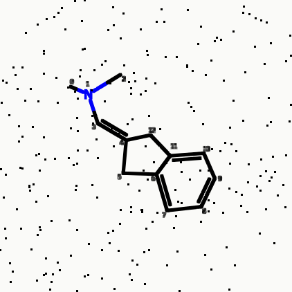 CN(C)C=C1Cc2ccccc2C1